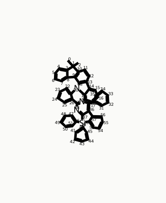 CC1(C)c2ccccc2-c2c1ccc1c3ccccc3n(-c3ccccc3-c3nc(-c4ccccc4)c4c(n3)[Si](c3ccccc3)(c3ccccc3)c3ccccc3-4)c21